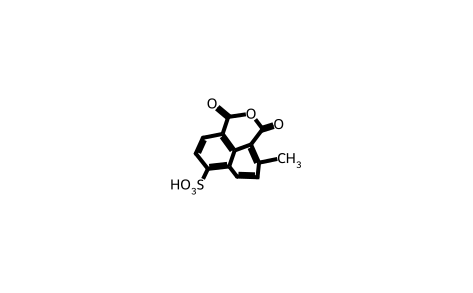 Cc1ccc2c(S(=O)(=O)O)ccc3c2c1C(=O)OC3=O